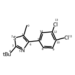 Cc1sc(C(C)(C)C)nc1-c1ccc(Cl)c(Cl)c1